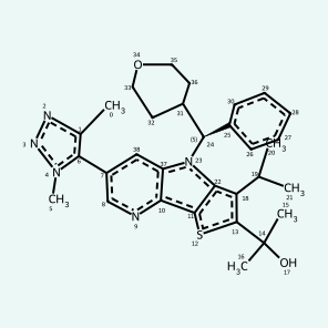 Cc1nnn(C)c1-c1cnc2c3sc(C(C)(C)O)c(C(C)C)c3n([C@H](c3ccccc3)C3CCOCC3)c2c1